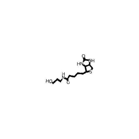 O=C(CCCCC1SCC2NC(=O)NC21)NCCCO